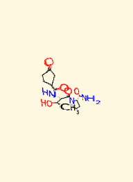 C[C@@H](O)[C@H](NC(=O)C1CCC(=O)C1)C(=O)N1CCC[C@H]1C(N)=O